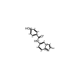 Cc1cn2cc(NC(=O)c3ccc(O)cc3)ccc2n1